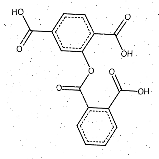 O=C(O)c1ccc(C(=O)O)c(OC(=O)c2ccccc2C(=O)O)c1